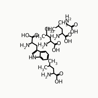 CC(C)CC(N)C(=O)O.CC(C)CC(N)C(=O)O.CC(C)CC(N)C(=O)O.NC(Cc1c[nH]c2ccccc12)C(=O)O.NCC(=O)O